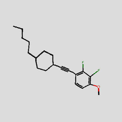 CCCCCC1CCC(C#Cc2ccc(OC)c(F)c2F)CC1